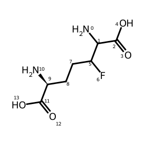 NC(C(=O)O)C(F)CC[C@H](N)C(=O)O